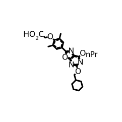 CCCOc1nc(OCC2CCCCC2)nc2oc(-c3cc(C)c(OCC(=O)O)c(C)c3)nc12